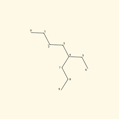 CC[CH]CC(CC)CCC